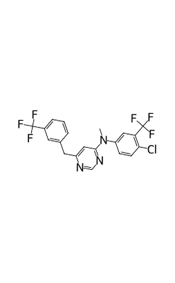 CN(c1ccc(Cl)c(C(F)(F)F)c1)c1cc(Cc2cccc(C(F)(F)F)c2)ncn1